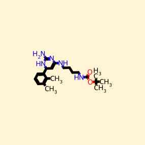 Cc1cccc(C2C=C(NCCCCNC(=O)OC(C)(C)C)N=C(N)N2)c1C